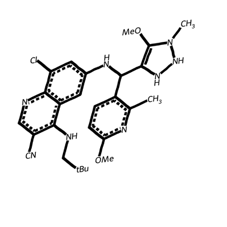 COC1=C(C(Nc2cc(Cl)c3ncc(C#N)c(NCC(C)(C)C)c3c2)c2ccc(OC)nc2C)NNN1C